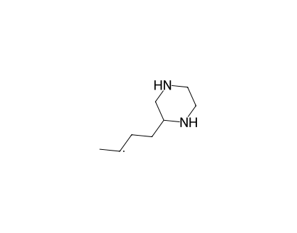 C[CH]CCC1CNCCN1